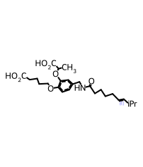 CC(C)/C=C/CCCCC(=O)NCc1ccc(OCCCCC(=O)O)c(OC(C)C(=O)O)c1